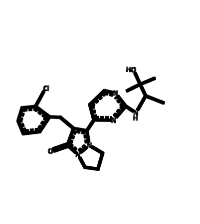 CC(Nc1nccc(-c2c(Cc3ccccc3Cl)c(=O)n3n2CCC3)n1)C(C)(C)O